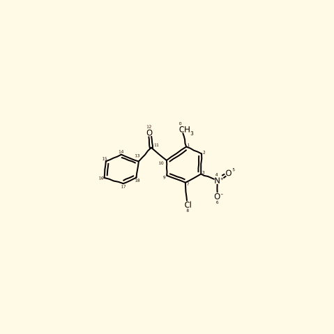 Cc1cc([N+](=O)[O-])c(Cl)cc1C(=O)c1ccccc1